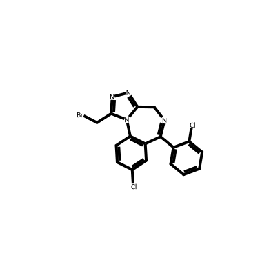 Clc1ccc2c(c1)C(c1ccccc1Cl)=NCc1nnc(CBr)n1-2